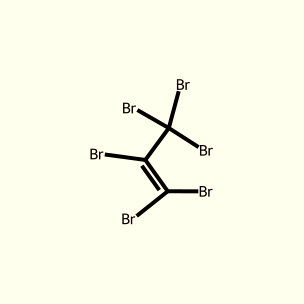 BrC(Br)=C(Br)C(Br)(Br)Br